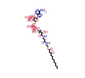 CCCCCCCCCC(=O)CC(=O)SCCNC(=O)CCNC(=O)[C@H](O)C(C)(C)COP(=O)(O)OP(=O)(O)OC[C@H]1O[C@@H](n2cnc3c(N)ncnc32)C(O)[C@H]1OP(=O)(O)O